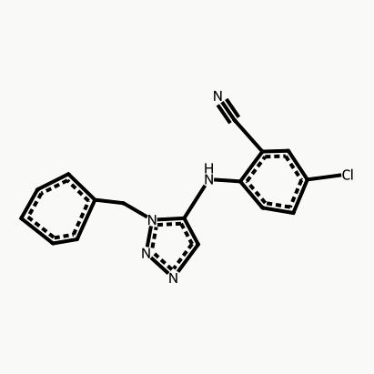 N#Cc1cc(Cl)ccc1Nc1cnnn1Cc1ccccc1